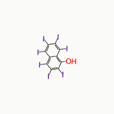 Oc1c(I)c(I)c(I)c2c(I)c(I)c(I)c(I)c12